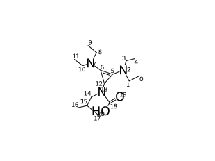 CCN(CC)C1=C(N(CC)CC)C1N(CC(C)C)C(=O)O